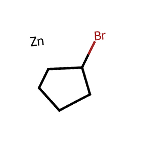 BrC1CCCC1.[Zn]